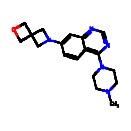 CN1CCN(c2ncnc3cc(N4CC5(COC5)C4)ccc23)CC1